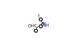 O=CC(c1ccccc1)c1ccc2[nH]nc(-c3ccc(F)cc3)c2c1